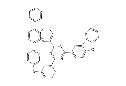 C1=c2sc3ccc(-c4ccc(-c5ccccc5)cc4)cc3c2=C(c2nc(-c3ccccc3)nc(-c3ccc4oc5ccccc5c4c3)n2)CC1